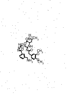 COc1ccc(CC(=O)N=C(N)NC(CC(C)C)C(=O)O)cc1OC.NCc1cccc(-c2nnc(O)o2)c1